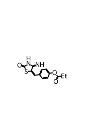 CCC(=O)Oc1ccc(C=C2SC(=O)NC2=N)cc1